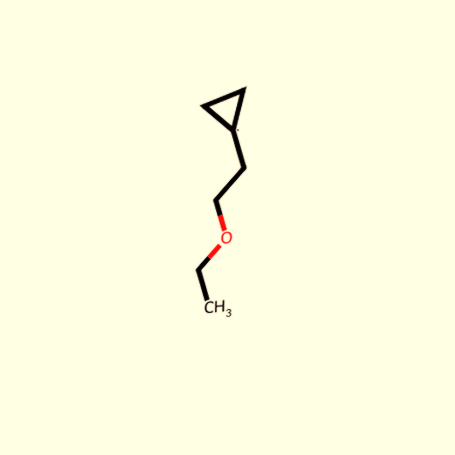 CCOCC[C]1CC1